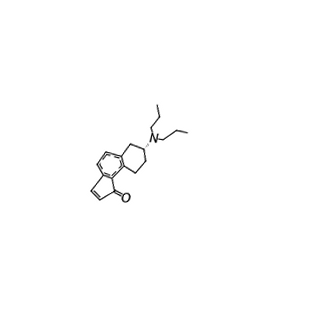 CCCN(CCC)[C@@H]1CCc2c(ccc3c2C(=O)C=C3)C1